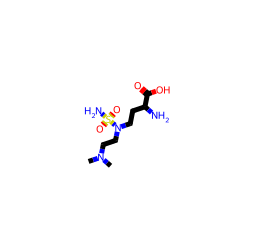 CN(C)CCN(CCC(N)C(=O)O)S(N)(=O)=O